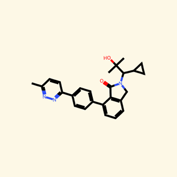 Cc1ccc(-c2ccc(-c3cccc4c3C(=O)N(C(C3CC3)C(C)(C)O)C4)cc2)nn1